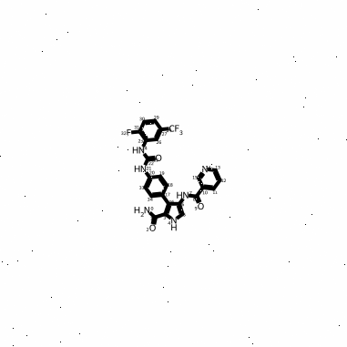 NC(=O)c1[nH]cc(NC(=O)c2cccnc2)c1-c1ccc(NC(=O)Nc2cc(C(F)(F)F)ccc2F)cc1